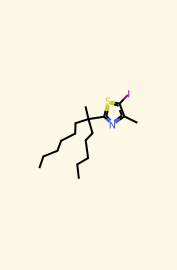 CCCCCCC(C)(CCCCC)c1nc(C)c(I)s1